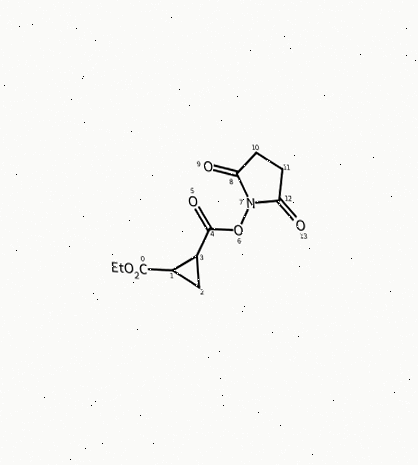 CCOC(=O)C1CC1C(=O)ON1C(=O)CCC1=O